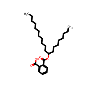 CCCCCCCCCCCC(CCCCCCCC)OC(=O)c1ccccc1C(=O)O